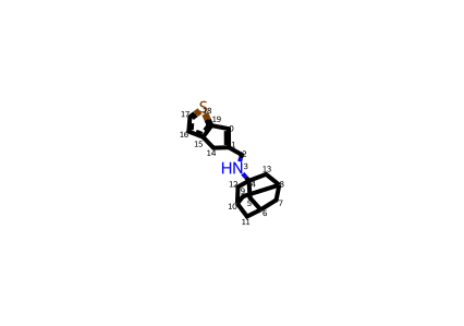 C1=C(CNC23CC4CC(CC(C4)C2)C3)Cc2ccsc21